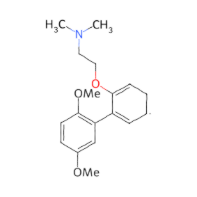 COc1ccc(OC)c(C2=C[CH]CC=C2OCCN(C)C)c1